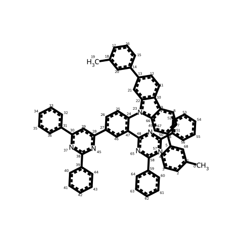 Cc1cccc(-c2ccc3c4ccc(-c5cccc(C)c5)cc4n(-c4ccc(-c5cc(-c6ccccc6)nc(-c6ccccc6)n5)cc4-c4nc(-c5ccccc5)nc(-c5ccccc5)n4)c3c2)c1